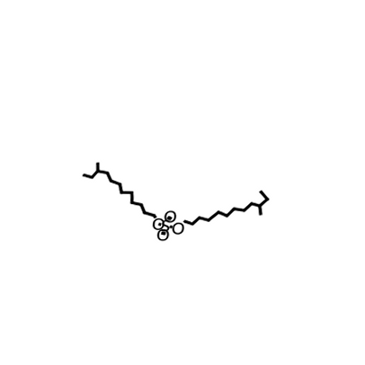 CCC(C)CCCCCCCCCOS(=O)(=O)OCCCCCCCCCC(C)CC